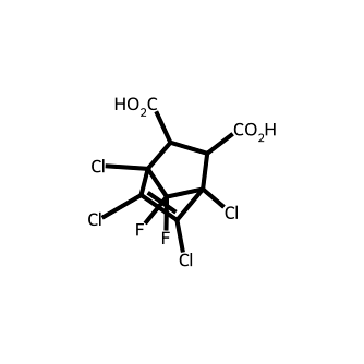 O=C(O)C1C(C(=O)O)C2(Cl)C(Cl)=C(Cl)C1(Cl)C2(F)F